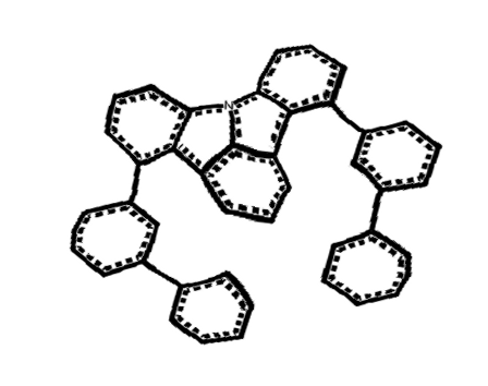 c1ccc(-c2cccc(-c3cccc4c3c3cccc5c6c(-c7cccc(-c8ccccc8)c7)cccc6n4c35)c2)cc1